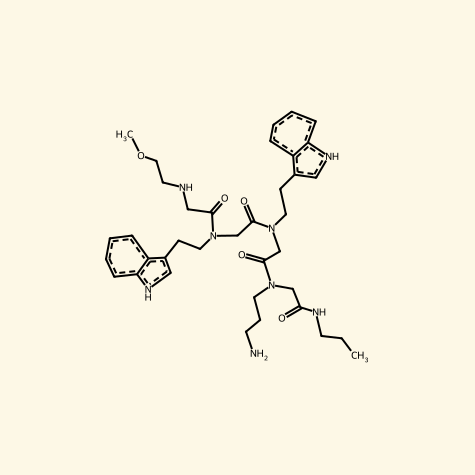 CCCNC(=O)CN(CCCN)C(=O)CN(CCc1c[nH]c2ccccc12)C(=O)CN(CCc1c[nH]c2ccccc12)C(=O)CNCCOC